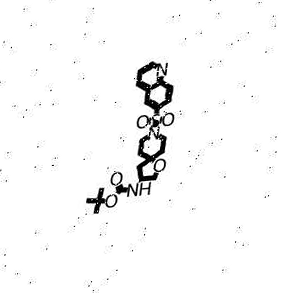 CC(C)(C)OC(=O)N[C@H]1COC2(CCN(S(=O)(=O)c3ccc4ncccc4c3)CC2)C1